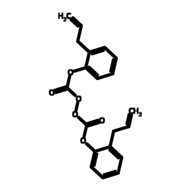 C=CCc1ccccc1OC(=O)OOC(=O)Oc1ccccc1CC=C